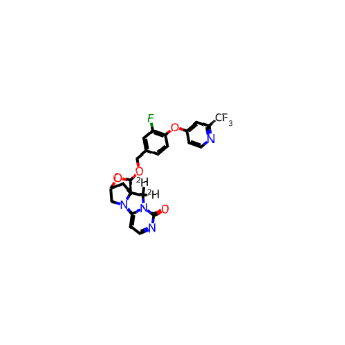 [2H]C1([2H])n2c(ccnc2=O)N2CC3CC21C(OCc1ccc(Oc2ccnc(C(F)(F)F)c2)c(F)c1)O3